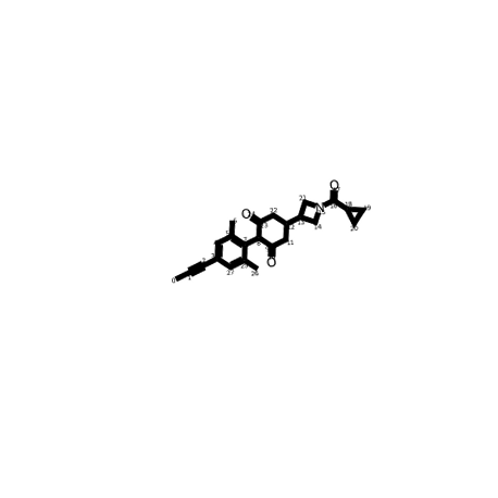 CC#Cc1cc(C)c(C2C(=O)CC(C3CN(C(=O)C4CC4)C3)CC2=O)c(C)c1